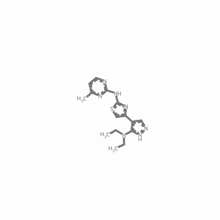 CCN(CC)c1[nH]ncc1-c1csc(Nc2nccc(C)n2)n1